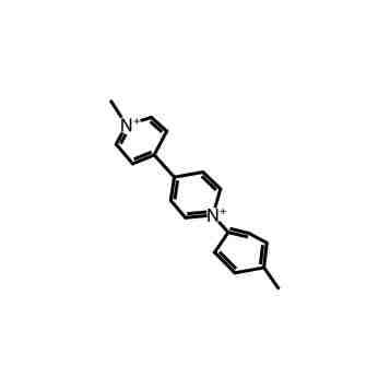 Cc1ccc(-[n+]2ccc(-c3cc[n+](C)cc3)cc2)cc1